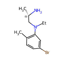 CCN(C[C@H](C)N)c1cc(Br)ccc1C